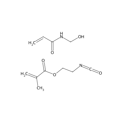 C=C(C)C(=O)OCCN=C=O.C=CC(=O)NCO